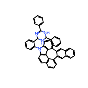 c1ccc(C2=NC(c3ccccc3-n3c4cccc5c4c4c6c(cccc6ccc43)-c3cc4ccccc4cc3-5)NC(c3ccccc3)N2)cc1